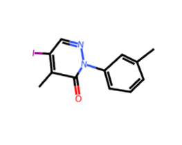 Cc1cccc(-n2ncc(I)c(C)c2=O)c1